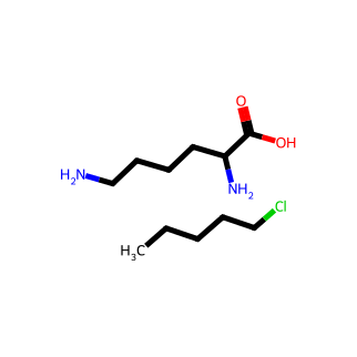 CCCCCCl.NCCCCC(N)C(=O)O